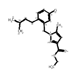 CCOC(=O)c1cc(C)n(Cc2cc(Cl)ccc2CCC(C)C)n1